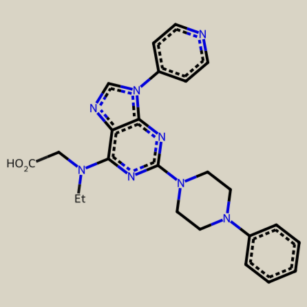 CCN(CC(=O)O)c1nc(N2CCN(c3ccccc3)CC2)nc2c1ncn2-c1ccncc1